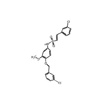 COc1cc(NS(=O)(=O)/C=C/c2cccc(Cl)c2)ccc1OCc1cccc(Cl)c1